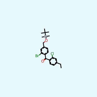 CCc1ccc(C(=O)c2ccc(CO[Si](C)(C)C(C)(C)C)cc2Br)c(Cl)c1